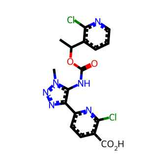 CC(OC(=O)Nc1c(-c2ccc(C(=O)O)c(Cl)n2)nnn1C)c1cccnc1Cl